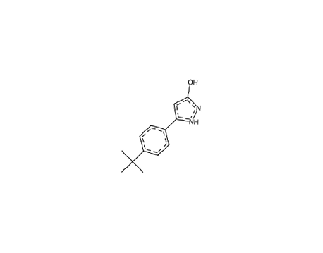 CC(C)(C)c1ccc(-c2cc(O)n[nH]2)cc1